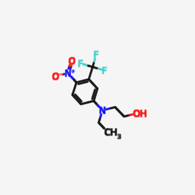 CCN(CCO)c1ccc([N+](=O)[O-])c(C(F)(F)F)c1